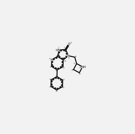 O=c1[nH]c2ncc(-c3ccccc3)cc2n1CC1CCN1